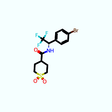 O=C(N[C@@H](c1ccc(Br)cc1)C(F)(F)F)C1CCS(=O)(=O)CC1